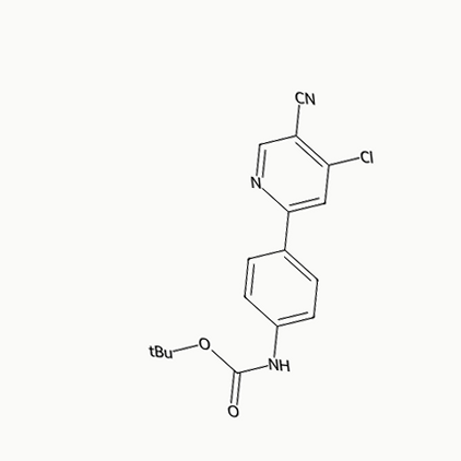 CC(C)(C)OC(=O)Nc1ccc(-c2cc(Cl)c(C#N)cn2)cc1